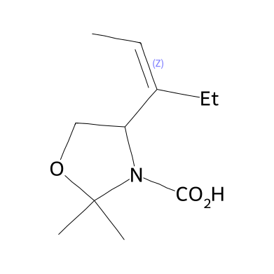 C/C=C(/CC)C1COC(C)(C)N1C(=O)O